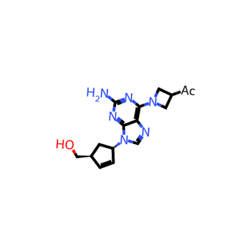 CC(=O)C1CN(c2nc(N)nc3c2ncn3[C@H]2C=C[C@@H](CO)C2)C1